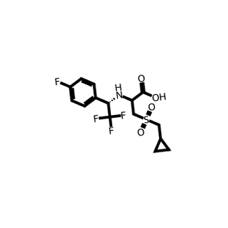 O=C(O)C(CS(=O)(=O)CC1CC1)N[C@@H](c1ccc(F)cc1)C(F)(F)F